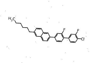 CCCCCCc1ccc2cc(-c3ccc(-c4ccc(Cl)c(F)c4)c(F)c3)ccc2c1